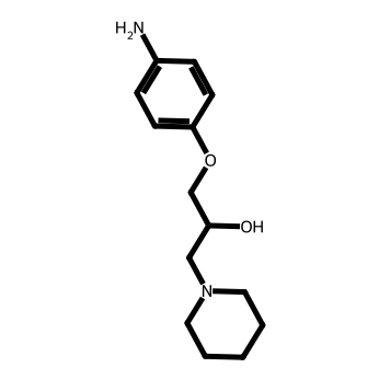 Nc1ccc(OCC(O)CN2CCCCC2)cc1